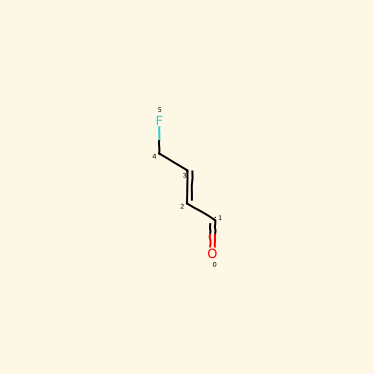 O=[C]C=CCF